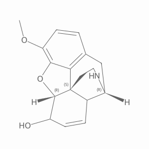 COc1ccc2c3c1O[C@H]1C(O)C=CC4[C@@H](C2)NCC[C@@]341